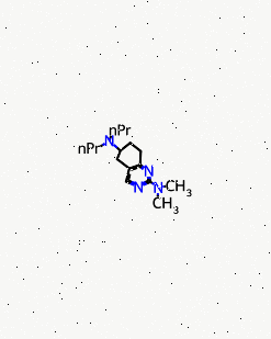 CCCN(CCC)C1CCc2nc(N(C)C)ncc2C1